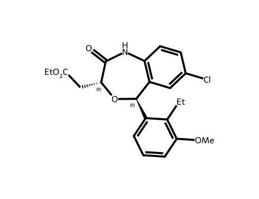 CCOC(=O)C[C@H]1O[C@H](c2cccc(OC)c2CC)c2cc(Cl)ccc2NC1=O